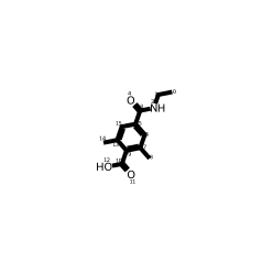 CCNC(=O)c1cc(C)c(C(=O)O)c(C)c1